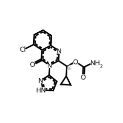 NC(=O)O[C@H](c1nc2cccc(Cl)c2c(=O)n1-c1cc[nH]n1)C1CC1